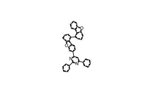 c1ccc(-c2cc(-c3ccc4c(c3)oc3cccc(-c5cccc6oc7ccccc7c56)c34)nc(-c3ccccc3)n2)cc1